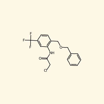 O=C(CCl)Nc1cc(C(F)(F)F)ccc1COCc1ccccc1